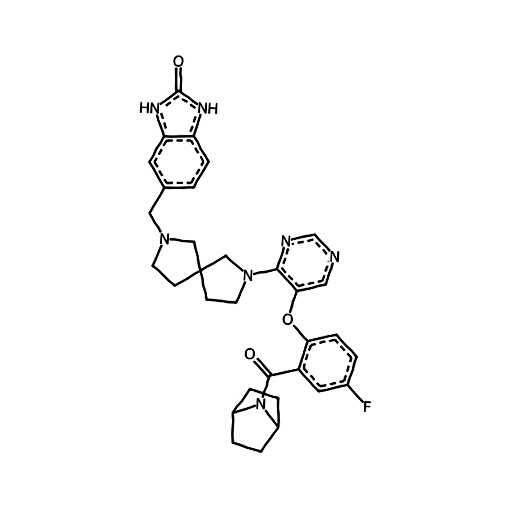 O=C(c1cc(F)ccc1Oc1cncnc1N1CCC2(CCN(Cc3ccc4[nH]c(=O)[nH]c4c3)C2)C1)N1C2CCC1CC2